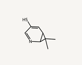 CC1(C)C2C=C(S)C=NC21